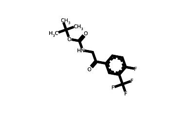 CC(C)(C)OC(=O)NCC(=O)c1ccc(F)c(C(F)(F)F)c1